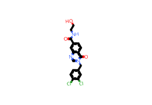 O=C(NCCO)c1ccc2c(=O)n(Cc3ccc(Cl)c(Cl)c3)cnc2c1